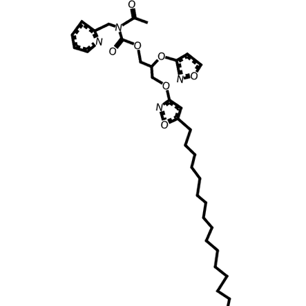 CCCCCCCCCCCCCCCCc1cc(OCC(COC(=O)N(Cc2ccccn2)C(C)=O)Oc2ccon2)no1